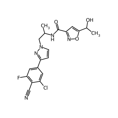 CC(Cn1ccc(-c2cc(F)c(C#N)c(Cl)c2)n1)NC(=O)c1cc(C(C)O)on1